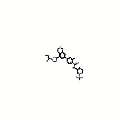 C=CC(=O)N1CCC(c2cc(-c3ccc(C(=O)Nc4cc(C(F)(F)F)ccn4)c(Cl)c3)cc3cncnc23)C1